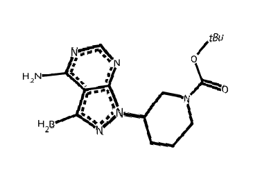 Bc1nn(C2CCCN(C(=O)OC(C)(C)C)C2)c2ncnc(N)c12